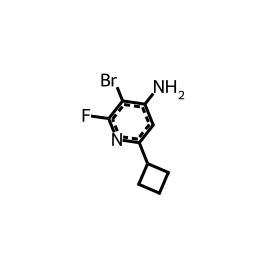 Nc1cc(C2CCC2)nc(F)c1Br